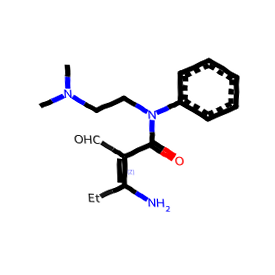 CC/C(N)=C(\C=O)C(=O)N(CCN(C)C)c1ccccc1